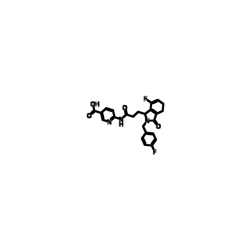 O=C(CCC1C2=C(CCC=C2F)C(=O)N1Cc1ccc(F)cc1)Nc1ccc(C(=O)O)cn1